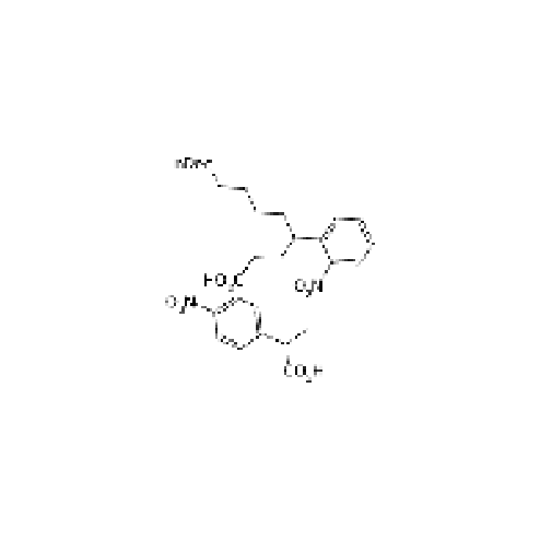 CC(C(=O)O)c1ccc([N+](=O)[O-])cc1.CCCCCCCCCCCCCCC(CCC(=O)O)c1ccccc1[N+](=O)[O-]